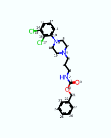 O=C(NCCCN1CCN(c2cccc(Cl)c2Cl)CC1)OCc1ccccc1